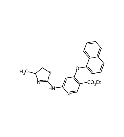 CCOC(=O)c1cnc(NC2=NC(C)CS2)cc1Oc1cccc2ccccc12